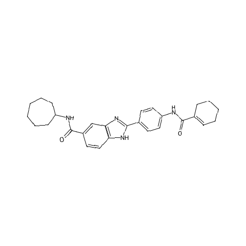 O=C(Nc1ccc(-c2nc3cc(C(=O)NC4CCCCCC4)ccc3[nH]2)cc1)C1=CCCCC1